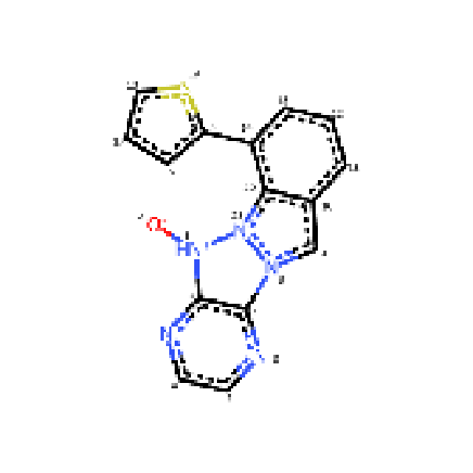 [O-][NH+]1c2nccnc2-n2cc3cccc(-c4cccs4)c3[n+]21